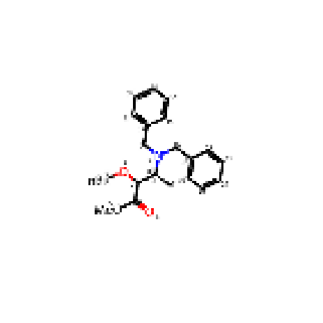 CCCCOC(C(=O)OC)[C@H](C)N(Cc1ccccc1)Cc1ccccc1